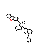 c1ccc(-c2cccc3cc(-c4c5ccccc5c(-c5ccc6c(c5)oc5ccccc56)c5ccccc45)ccc23)cc1